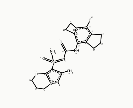 Cc1nn2c(c1S(N)(=O)=NC(=O)Nc1c3c(c(F)c4c1CC4)CCC3)OCCC2